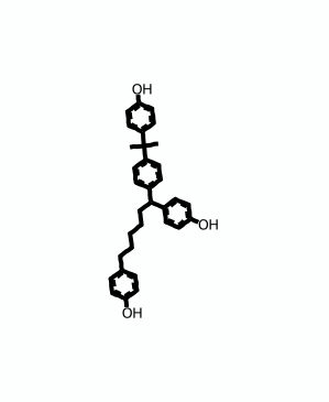 CC(C)(c1ccc(O)cc1)c1ccc(C(CCCCCc2ccc(O)cc2)c2ccc(O)cc2)cc1